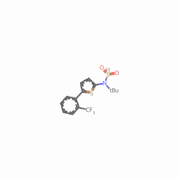 CC(C)(C)N(c1[c]cc(-c2ccccc2C(F)(F)F)s1)[SH](=O)=O